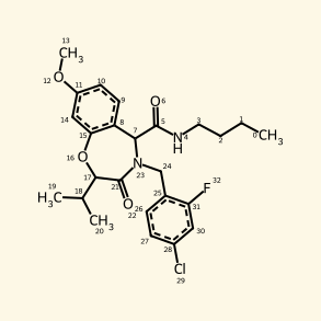 CCCCNC(=O)C1c2ccc(OC)cc2OC(C(C)C)C(=O)N1Cc1ccc(Cl)cc1F